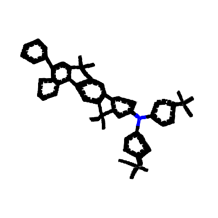 CC1(C)c2cc(N(c3ccc([Si](C)(C)C)cc3)c3ccc([Si](C)(C)C)cc3)ccc2-c2cc3c(cc21)-c1c(cc(-c2ccccc2)c2ccccc12)C3(C)C